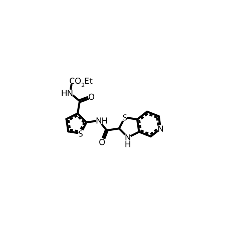 CCOC(=O)NC(=O)c1ccsc1NC(=O)C1Nc2cnccc2S1